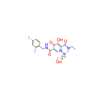 CCN1C[C@@]2(C[C@@H]2CO)n2cc(C(=O)NCc3ccc(F)cc3F)c(=O)c(O)c2C1=O